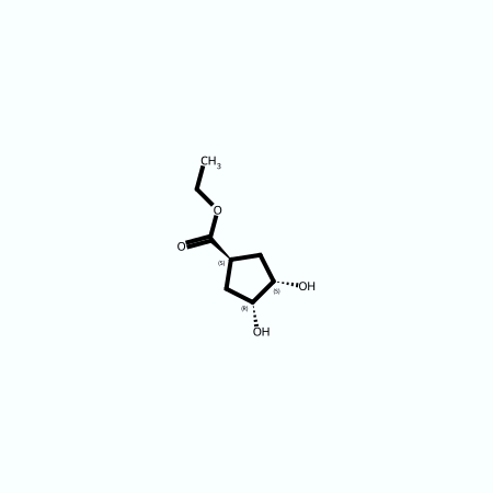 CCOC(=O)[C@@H]1C[C@@H](O)[C@@H](O)C1